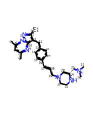 CCc1nn2c(C)cc(C)nc2c1Cc1ccc(/C=C/CN2CCN[C@@H](CN(C)C)C2)cc1